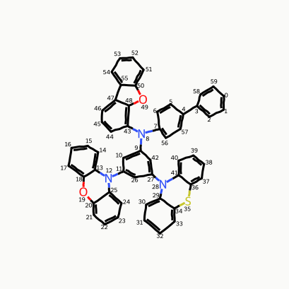 c1ccc(-c2ccc(N(c3cc(N4c5ccccc5Oc5ccccc54)cc(N4c5ccccc5Sc5ccccc54)c3)c3cccc4c3oc3ccccc34)cc2)cc1